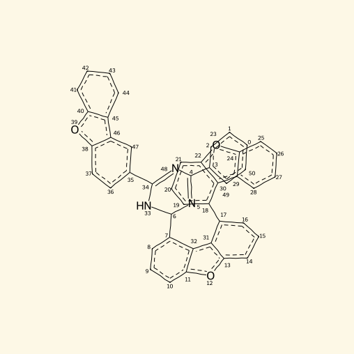 c1ccc(C2=NC(c3cccc4oc5cccc(-c6cccc7oc8ccccc8c67)c5c34)NC(c3ccc4oc5ccccc5c4c3)=N2)cc1